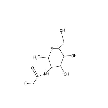 CC1SC(CO)C(O)C(O)C1NC(=O)CF